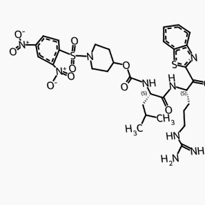 CC(C)C[C@H](NC(=O)OC1CCN(S(=O)(=O)c2ccc([N+](=O)[O-])cc2[N+](=O)[O-])CC1)C(=O)N[C@@H](CCCNC(=N)N)C(=O)c1nc2ccccc2s1